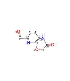 O=Cc1ccc2c(n1)OCC(=O)N2